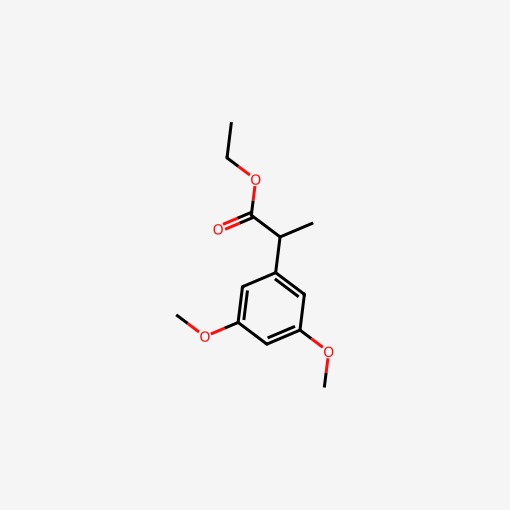 CCOC(=O)C(C)c1cc(OC)cc(OC)c1